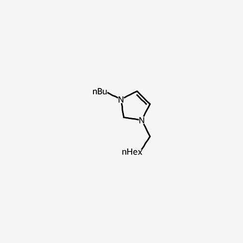 CCCCCCCN1C=CN(CCCC)C1